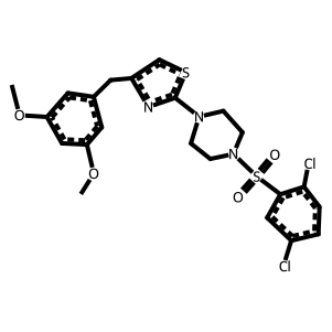 COc1cc(Cc2csc(N3CCN(S(=O)(=O)c4cc(Cl)ccc4Cl)CC3)n2)cc(OC)c1